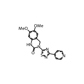 COc1cc2c(cc1OC)NC(=O)N(c1nc(-c3ccncc3)ns1)C2